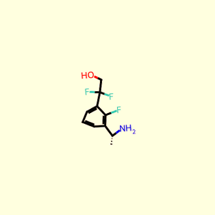 C[C@@H](N)c1cccc(C(F)(F)CO)c1F